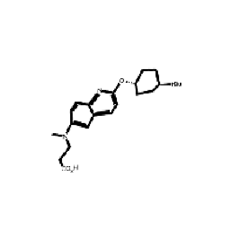 CN(CCC(=O)O)c1ccc2nc(O[C@H]3CC[C@H](C(C)(C)C)CC3)ccc2c1